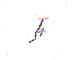 CCC(=O)NN(CC)CC.CCCCCCCCCCCCCCCCCC(=O)O